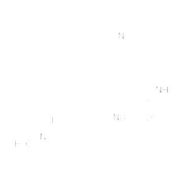 CN(C)Cc1ccc(N/C=C2\C(=O)Nc3ccc4ncccc4c32)cc1